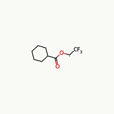 O=C(O[CH]C(F)(F)F)C1CCCCC1